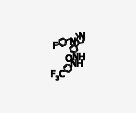 Cc1nccc2c3cc(NC(=O)Nc4ccc(C(F)(F)F)cc4)ccc3n(Cc3ccc(F)cc3)c12